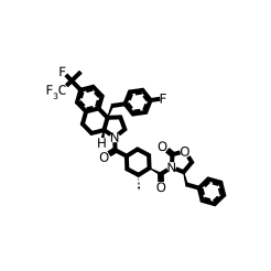 C[C@@H]1CC(C(=O)N2CC[C@@]3(Cc4ccc(F)cc4)c4ccc(C(C)(F)C(F)(F)F)cc4CC[C@@H]23)CC[C@H]1C(=O)N1C(=O)OC[C@H]1Cc1ccccc1